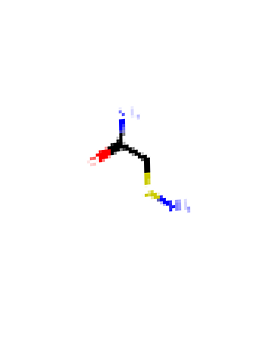 NSCC(N)=O